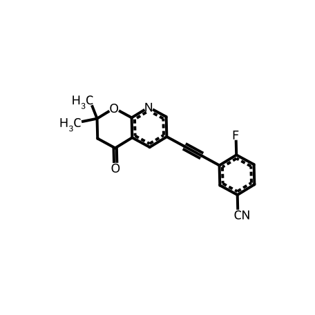 CC1(C)CC(=O)c2cc(C#Cc3cc(C#N)ccc3F)cnc2O1